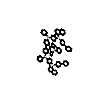 c1ccc(-c2ccc(-n3c4ccc(N(c5ccccc5)c5ccc6c(c5)C5(c7cc(N(c8ccccc8)c8ccc9c(c8)c8ccc%10ccccc%10c8n9-c8ccc(-c9ccccc9)cc8)ccc7-6)c6ccccc6-n6c7ccccc7c7cccc5c76)cc4c4ccc5ccccc5c43)cc2)cc1